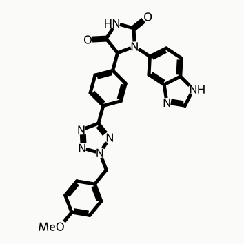 COc1ccc(Cn2nnc(-c3ccc(C4C(=O)NC(=O)N4c4ccc5[nH]cnc5c4)cc3)n2)cc1